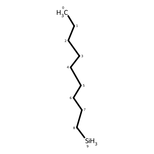 CCCCCCCC[CH][SiH3]